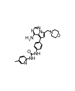 Cc1ccc(NC(=O)Nc2ccc(-c3cc(CN4CCOCC4)n4ncnc(N)c34)cc2)nc1